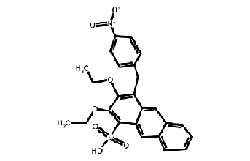 CCOc1c(OCC)c(S(=O)(=O)O)c2cc3ccccc3cc2c1Cc1ccc([N+](=O)[O-])cc1